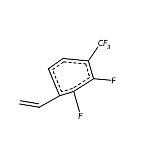 C=Cc1ccc(C(F)(F)F)c(F)c1F